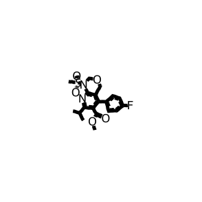 COC(=O)c1c(C(C)C)nc2c(c1-c1ccc(F)cc1)COCN2S(C)(=O)=O